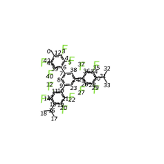 Cc1c(F)c(F)c(-c2cc(-c3c(F)c(F)c(C(C)C)c(F)c3F)cc(-c3c(F)c(F)c(C(C)C)c(F)c3F)c2)c(F)c1F